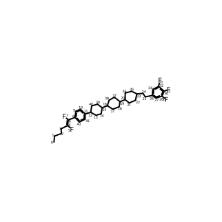 CCCC/C(F)=C(\F)c1ccc(C2CCC(C3CCC(C4CCC(CCc5cc(F)c(F)c(F)c5)CC4)CC3)CC2)cc1